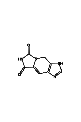 O=C1NC(=O)N2Cc3[nH]cnc3C=C12